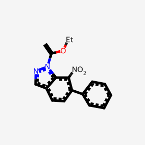 C=C(OCC)n1ncc2ccc(-c3ccccc3)c([N+](=O)[O-])c21